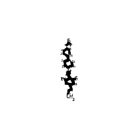 CCCc1cc(F)c(C#C[C@H]2CC[C@H]([C@H]3CC[C@H](C=C(F)F)CC3)CC2)c(F)c1